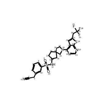 N#CCc1cccc(S(=O)(=O)NC2CCC3(CCN(c4ncnc5sc(CC(F)(F)F)cc45)C3)C2)c1